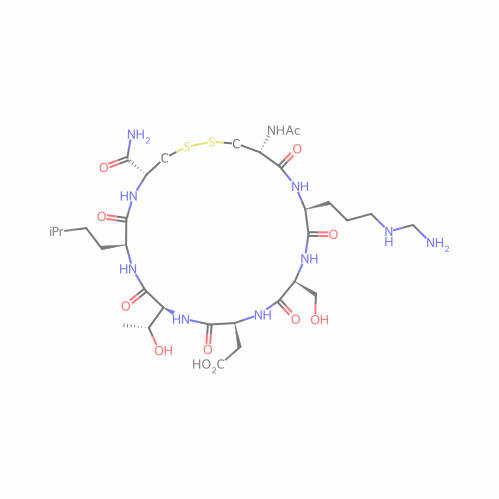 CC(=O)N[C@H]1CSSC[C@@H](C(N)=O)NC(=O)[C@H](CCC(C)C)NC(=O)[C@H]([C@@H](C)O)NC(=O)[C@H](CC(=O)O)NC(=O)[C@H](CO)NC(=O)[C@H](CCCNCN)NC1=O